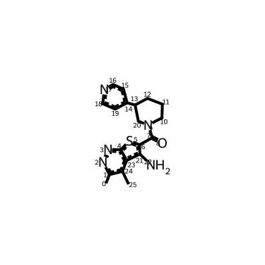 Cc1nnc2sc(C(=O)N3CCCC(c4ccncc4)C3)c(N)c2c1C